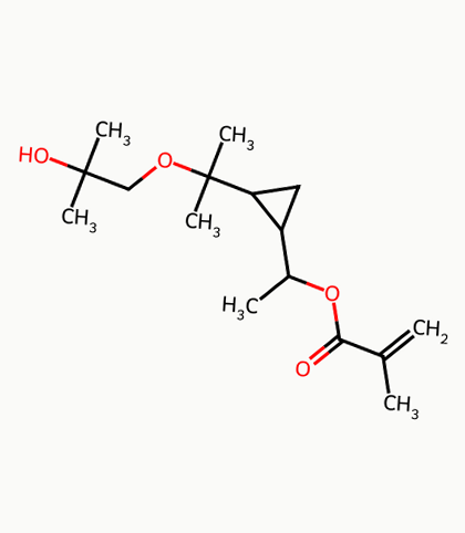 C=C(C)C(=O)OC(C)C1CC1C(C)(C)OCC(C)(C)O